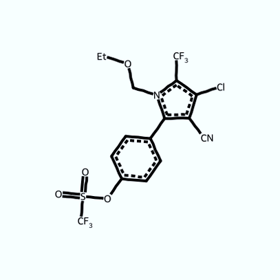 CCOCn1c(-c2ccc(OS(=O)(=O)C(F)(F)F)cc2)c(C#N)c(Cl)c1C(F)(F)F